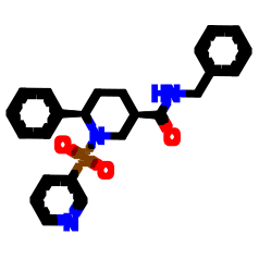 O=C(NCc1ccccc1)[C@@H]1CC[C@H](c2ccccc2)N(S(=O)(=O)c2cccnc2)C1